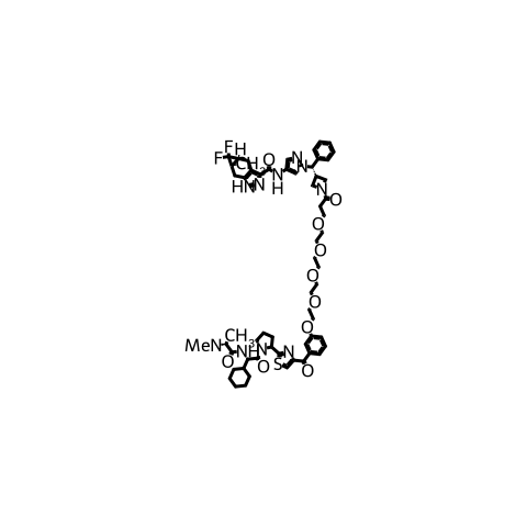 CN[C@@H](C)C(=O)N[C@H](C(=O)N1CCCC1c1nc(C(=O)c2cccc(OCCOCCOCCOCCOCCC(=O)N3CC([C@@H](c4ccccc4)n4cc(NC(=O)c5n[nH]c6c5C[C@@H]5C(F)(F)[C@]5(C)C6)cn4)C3)c2)cs1)C1CCCCC1